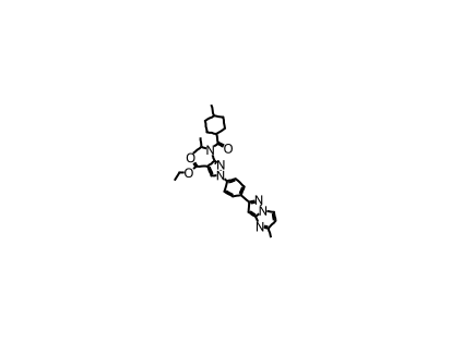 CCOC(=O)c1cn(-c2ccc(-c3cc4nc(C)ccn4n3)cc2)nc1N(C(=O)C1CCC(C)CC1)C(C)C